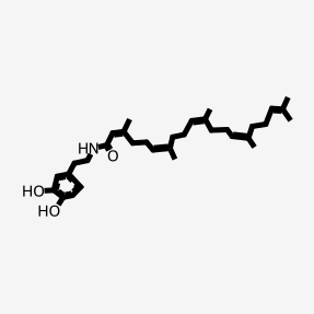 CC(C)=CCCC(C)=CCCC(C)=CCCC(C)=CCCC(C)=CC(=O)NCCc1ccc(O)c(O)c1